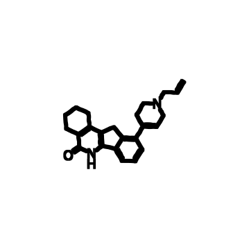 C=CCN1CC=C(c2cccc3c2Cc2c-3[nH]c(=O)c3c2CCCC3)CC1